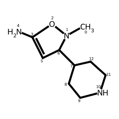 CN1OC(N)=CC1C1CCNCC1